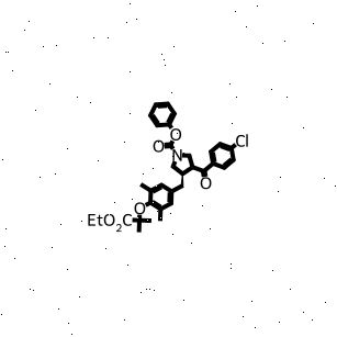 CCOC(=O)C(C)(C)Oc1c(C)cc(C[C@H]2CN(C(=O)Oc3ccccc3)CC2C(=O)c2ccc(Cl)cc2)cc1C